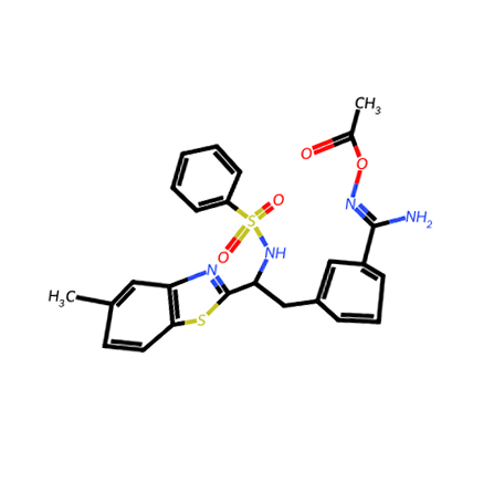 CC(=O)ON=C(N)c1cccc(CC(NS(=O)(=O)c2ccccc2)c2nc3cc(C)ccc3s2)c1